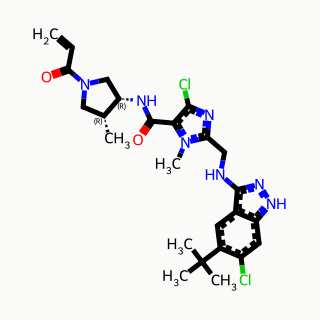 C=CC(=O)N1C[C@@H](C)[C@@H](NC(=O)c2c(Cl)nc(CNc3n[nH]c4cc(Cl)c(C(C)(C)C)cc34)n2C)C1